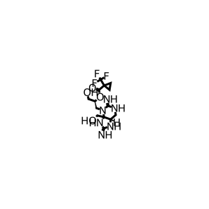 N=C1N[C@H]2CNC(=N)N(C[C@@H](CO)OC(=O)C3(C(F)(F)F)CC3)C2(CO)N1